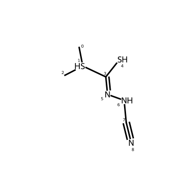 C[SH](C)C(S)=NNC#N